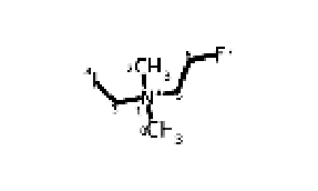 C[N+](C)(CI)CCF